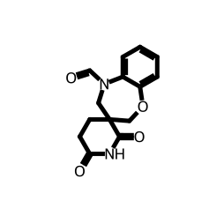 O=CN1CC2(CCC(=O)NC2=O)COc2ccccc21